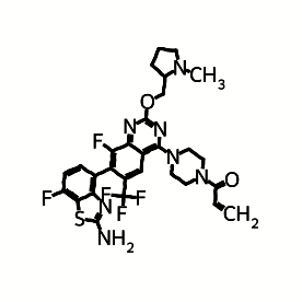 C=CC(=O)N1CCN(c2nc(OCC3CCCN3C)nc3c(F)c(-c4ccc(F)c5sc(N)nc45)c(C(F)(F)F)cc23)CC1